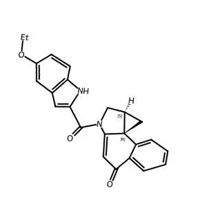 CCOc1ccc2[nH]c(C(=O)N3C[C@H]4C[C@@]45C3=CC(=O)c3ccccc35)cc2c1